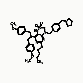 CCCCOc1nc(N(Cc2ccc(OC)cc2)Cc2ccc(OC)cc2)c2c(n1)N(Cc1ccc(CN3CCCC3)cc1)CS(=O)(=O)N2